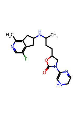 Cc1ncc(F)c2c1CC(NC(C)CCC1CN(C3=CNCC=N3)C(=O)O1)C2